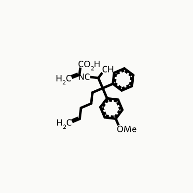 C=CC(=O)O.C=CCCCC(c1ccccc1)(c1ccc(OC)cc1)C(C)C#N